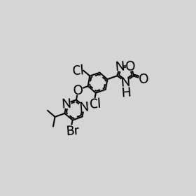 CC(C)c1nc(Oc2c(Cl)cc(-c3noc(=O)[nH]3)cc2Cl)ncc1Br